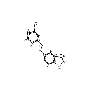 Clc1cc(NCc2ccc3c(c2)OCO3)ncn1